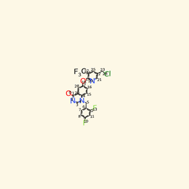 O=c1ncn(Cc2ccc(F)cc2F)c2ccc(Oc3ncc(CCl)cc3C(F)(F)F)cc12